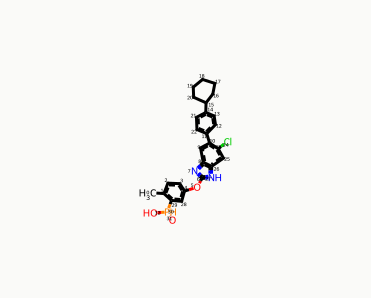 Cc1ccc(Oc2nc3cc(-c4ccc(C5CCCCC5)cc4)c(Cl)cc3[nH]2)cc1[PH](=O)O